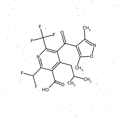 Cc1noc(C)c1C(=O)c1c(C(F)(F)F)nc(C(F)F)c(C(=O)O)c1CC(C)C